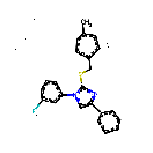 Cc1ccc(CSc2nc(-c3ccccc3)cn2-c2cccc(F)c2)cc1